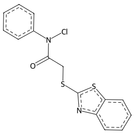 O=C(CSc1nc2ccccc2s1)N(Cl)c1ccccc1